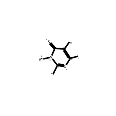 Cc1nc(C)n(C(C)C)c(=S)c1C